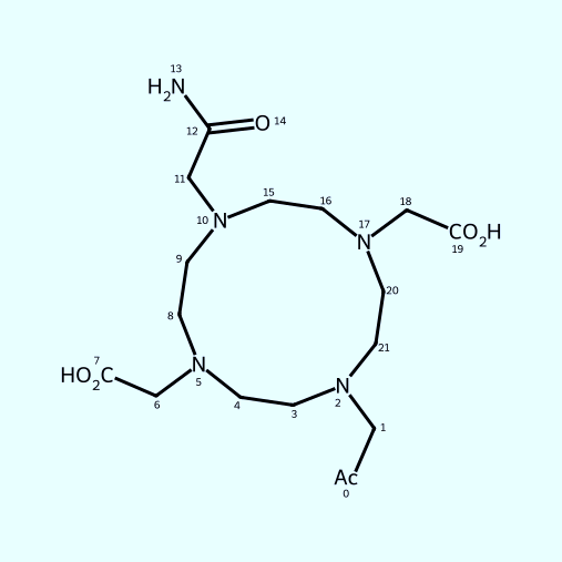 CC(=O)CN1CCN(CC(=O)O)CCN(CC(N)=O)CCN(CC(=O)O)CC1